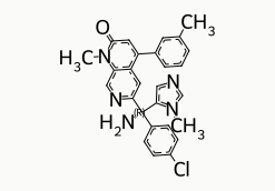 Cc1cccc(-c2cc(=O)n(C)c3cnc([C@](N)(c4ccc(Cl)cc4)c4cncn4C)cc23)c1